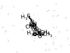 CCCCCOc1nc(Cl)nc2c1ncn2[C@@H]1O[C@H](COC(Cc2ccccc2)(C(C)=O)C(=O)OCC)[C@@H](C)[C@@H]1F